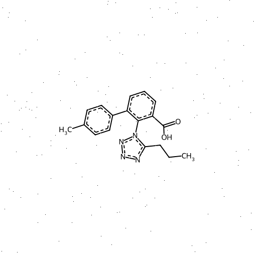 CCCc1nnnn1-c1c(C(=O)O)cccc1-c1ccc(C)cc1